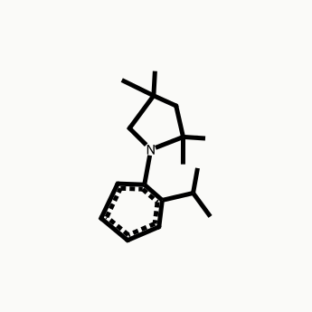 CC(C)c1ccccc1N1CC(C)(C)CC1(C)C